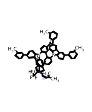 C=C(C)/C=C\C=C(/C)c1ccc2c(c1)c1cc(-c3cccc(C)c3)ccc1n2-c1ccc(C#N)cc1-c1cc(-c2ccc(C(F)(F)F)cc2C#N)ccc1-n1c2ccc(-c3cccc(C)c3)cc2c2cc(-c3cccc(C)c3)ccc21